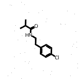 CC(C)C(=O)NCCc1ccc(Cl)cc1